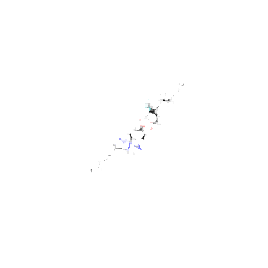 CCCCCCCc1cnc(-c2ccc(C(=O)Oc3ccc(CCC)c(F)c3)cc2)nc1